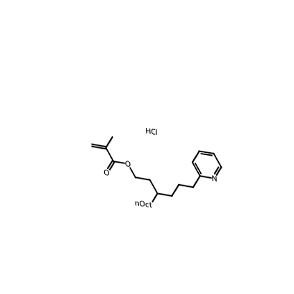 C=C(C)C(=O)OCCC(CCCCCCCC)CCCc1ccccn1.Cl